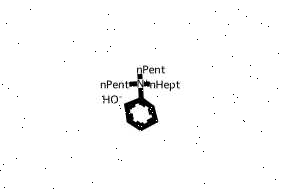 CCCCCCC[N+](CCCCC)(CCCCC)c1ccccc1.[OH-]